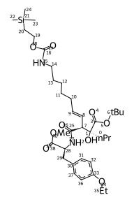 CCC[C@@](O)(C(=O)OC(C)(C)C)[C@H](/C=C/CCCCCNC(=O)OCC[Si](C)(C)C)C(=O)N[C@@H](Cc1ccc(OCC)cc1)C(=O)OC